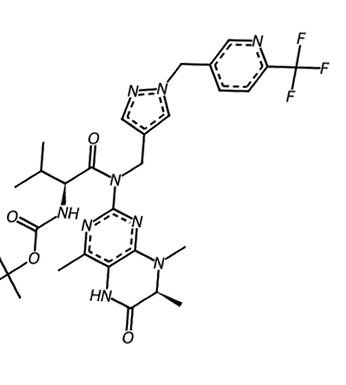 Cc1nc(N(Cc2cnn(Cc3ccc(C(F)(F)F)nc3)c2)C(=O)[C@@H](NC(=O)OC(C)(C)C)C(C)C)nc2c1NC(=O)[C@H](C)N2C